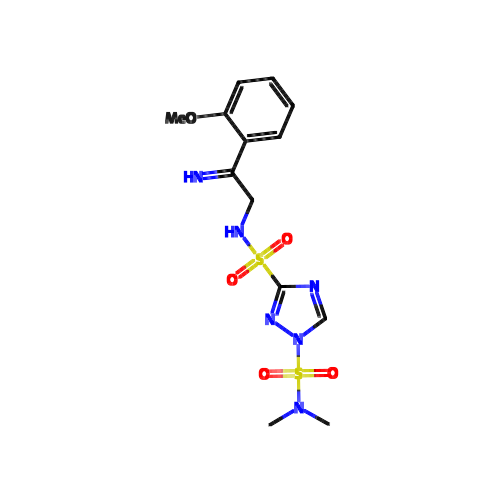 COc1ccccc1C(=N)CNS(=O)(=O)c1ncn(S(=O)(=O)N(C)C)n1